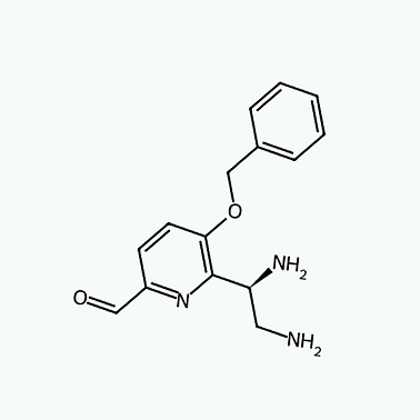 NC[C@H](N)c1nc(C=O)ccc1OCc1ccccc1